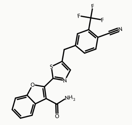 N#Cc1ccc(Cc2cnc(-c3oc4ccccc4c3C(N)=O)s2)cc1C(F)(F)F